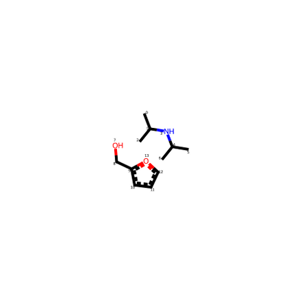 CC(C)NC(C)C.OCc1ccco1